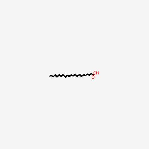 CCCC=CCCCCCCCCCCCCCCCCCC(=O)O